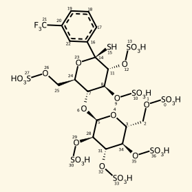 O=S(=O)(O)OC[C@H]1O[C@H](O[C@H]2[C@H](OS(=O)(=O)O)[C@@H](OS(=O)(=O)O)[C@@](S)(c3cccc(C(F)(F)F)c3)O[C@@H]2COS(=O)(=O)O)[C@H](OS(=O)(=O)O)[C@@H](OS(=O)(=O)O)[C@@H]1OS(=O)(=O)O